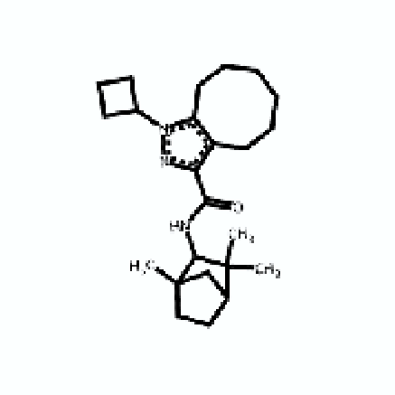 CC12CCC(C1)C(C)(C)C2NC(=O)c1nn(C2CCC2)c2c1CCCCCC2